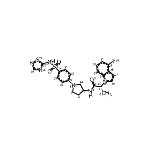 C[C@H](C(=O)NC1CCN(c2ccc(S(=O)(=O)Nc3ncns3)cc2)C1)n1ccc2c(F)cccc21